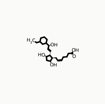 CCC1CCCC([C@H](O)/C=C/[C@@H]2[C@@H](C/C=C\CCCC(=O)O)[C@@H](O)C[C@H]2O)C1